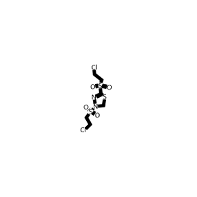 O=S(=O)(CCCl)C1=NN(S(=O)(=O)CCCl)CS1